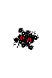 FC(F)(F)c1cc2c3c(c1)N(c1ccccc1)c1ccccc1B3c1cc3c(-c4c(-c5ccccc5)cc(-c5ccccc5)cc4-c4ccccc4)cc4c5c(cc6c(-c7c(-c8ccccc8)cc(-c8ccccc8)cc7-c7ccccc7)cc-2c1c6c35)B1c2ccccc2N(c2ccccc2)c2cc(C(F)(F)F)cc-4c21